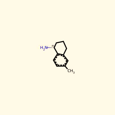 Cc1ccc2c(c1)CCC[C@H]2N